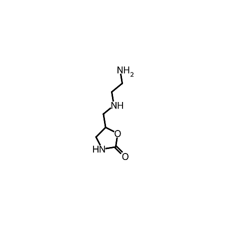 NCCNCC1CNC(=O)O1